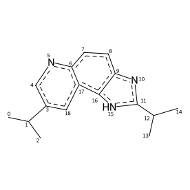 CC(C)c1cnc2ccc3nc(C(C)C)[nH]c3c2c1